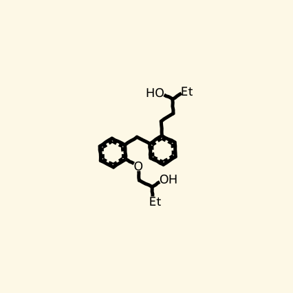 CCC(O)CCc1ccccc1Cc1ccccc1OCC(O)CC